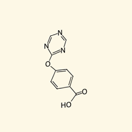 O=C(O)c1ccc(Oc2ncncn2)cc1